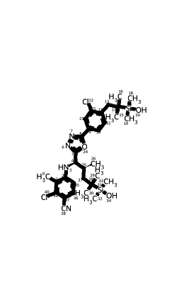 Cc1c(N[C@@H](c2nnc(-c3ccc(CC(C)(C)[Si](C)(C)O)c(Cl)c3)o2)[C@H](C)CC(C)(C)[Si](C)(C)O)ccc(C#N)c1Cl